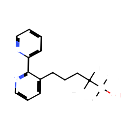 CC(C)(CCCc1cccnc1-c1ccccn1)[Si](C)(C)O